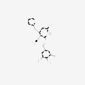 Cc1c(F)cc(CSc2[nH]c(=O)cc(Cc3cccs3)c2C#N)cc1F